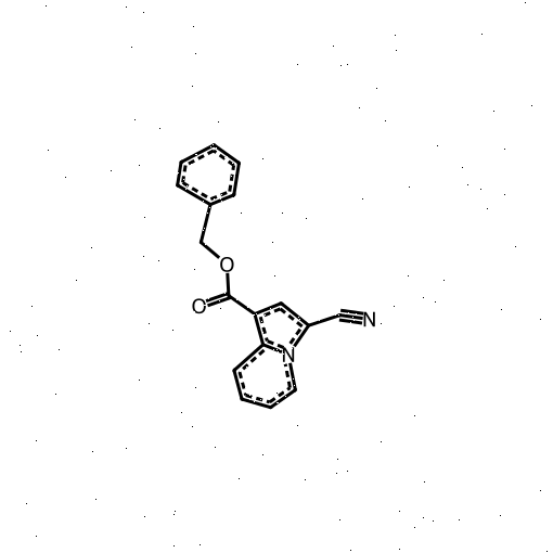 N#Cc1cc(C(=O)OCc2ccccc2)c2ccccn12